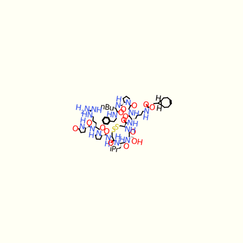 CCCC[C@@H](NC(=O)[C@@H]1CCCN1C(=O)CNC(=O)[C@H](CCCCNC(=O)OCC1[C@H]2CCC#CCC[C@@H]12)NC(=O)[C@@H]1CSSC[C@H](NC(=O)[C@@H]2CCCN2C(=O)[C@H](CCCNC(=N)N)NC(=O)[C@@H]2CCC(=O)N2)C(=O)N[C@@H](CC(C)C)C(=O)N[C@@H](CO)C(=O)N1)C(=O)NCCc1ccccc1